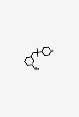 CC(C)(CC1CCCN(C(C)(C)C)C1)C1CCNCC1